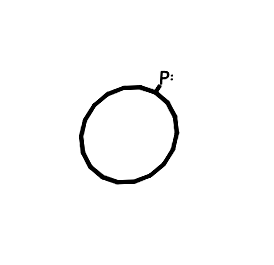 [P]C1CCCCCCCCCCCCCCCCC1